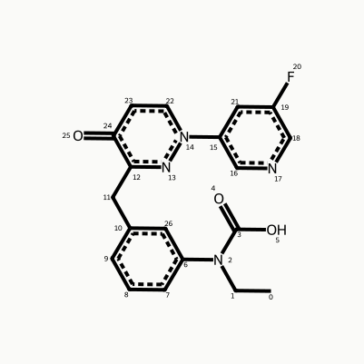 CCN(C(=O)O)c1cccc(Cc2nn(-c3cncc(F)c3)ccc2=O)c1